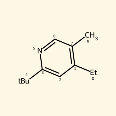 CCc1cc(C(C)(C)C)ncc1C